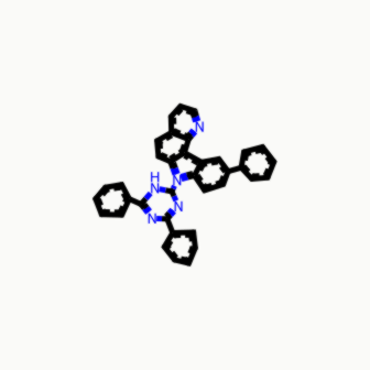 c1ccc(C2=NC(n3c4ccc(-c5ccccc5)cc4c4c5ncccc5ccc43)NC(c3ccccc3)=N2)cc1